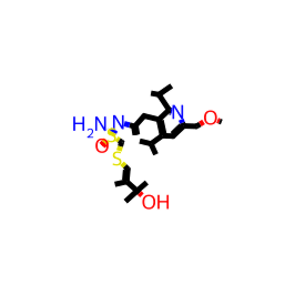 C=C(Cc1c(C(C)C)cc(COC)nc1C(C)C)N=S(N)(=O)CS/C=C(\C)C(C)(C)O